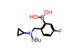 CCCCN(Cc1ccc(F)cc1B(O)O)C1CC1